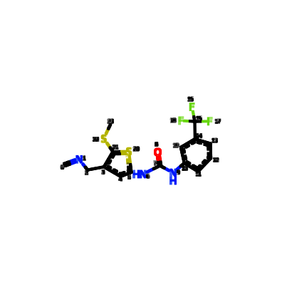 C=NCc1cc(NC(=O)Nc2cccc(C(F)(F)F)c2)sc1SC